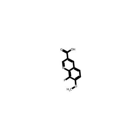 COc1ccc2cc(C(=O)O)cnc2c1F